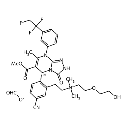 COC(=O)C1=C(C)N(c2cccc(C(F)(F)CF)c2)c2n[nH]c(=O)n2[C@@H]1c1ccc(C#N)cc1CC[N+](C)(C)CCOCCO.O=C[O-]